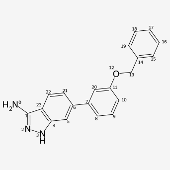 Nc1n[nH]c2cc(-c3cccc(OCc4ccccc4)c3)ccc12